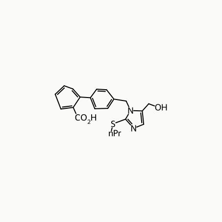 CCCSc1ncc(CO)n1Cc1ccc(-c2ccccc2C(=O)O)cc1